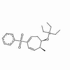 CC[Si](CC)(CC)O[C@@H]1CC=C(S(=O)(=O)c2ccccc2)C=C[C@@H]1C